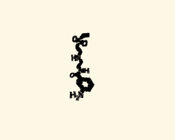 C=CS(=O)(=O)CCNCCNC(=O)c1cccc(N)c1